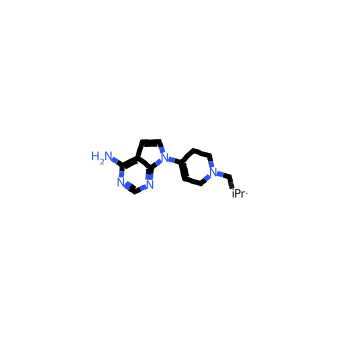 C[C](C)CN1CC=C(n2ccc3c(N)ncnc32)CC1